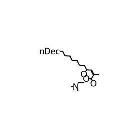 CCCCCCCCCCCCCCCCCC(=O)C=C(C)C(=O)OCCN(C)C